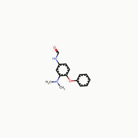 CN(C)c1cc(NC=O)ccc1Oc1ccccc1